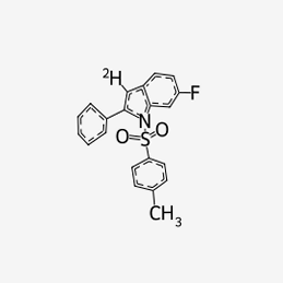 [2H]c1c(-c2ccccc2)n(S(=O)(=O)c2ccc(C)cc2)c2cc(F)ccc12